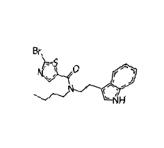 CCCCN(CCc1c[nH]c2ccccc12)C(=O)c1cnc(Br)s1